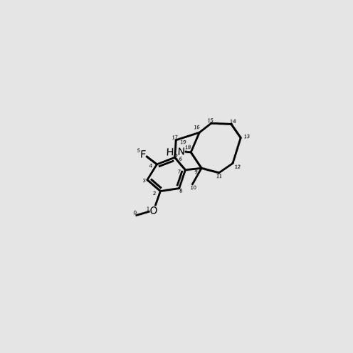 COc1cc(F)c2c(c1)C1(C)CCCCCC(C2)C1N